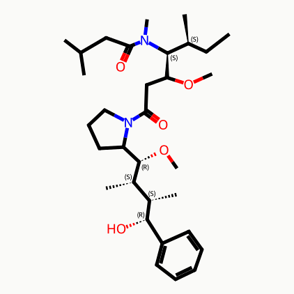 CC[C@H](C)[C@@H](C(CC(=O)N1CCCC1[C@H](OC)[C@@H](C)[C@H](C)[C@@H](O)c1ccccc1)OC)N(C)C(=O)CC(C)C